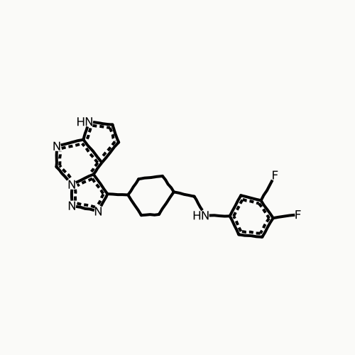 Fc1ccc(NCC2CCC(c3nnn4cnc5[nH]ccc5c34)CC2)cc1F